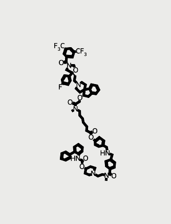 CN(CCCCCCC(=O)Oc1ccc(CNCc2ccc(C(=O)N(C)CCN3CCC(OC(=O)Nc4ccccc4-c4ccccc4)CC3)cc2)cc1)C(=O)CO[C@H]1Cc2ccccc2C12CCN(CC[C@@]1(c3ccc(F)cc3)CN(C(=O)c3cc(C(F)(F)F)cc(C(F)(F)F)c3)CO1)CC2